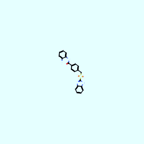 Nc1ccccc1NC(=O)c1ccc(CS(=O)(=O)c2nc3ccccc3[nH]2)cc1